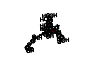 CC1O[C@@H](OC2C(O)[C@@H](NC(=O)CCCCCNC(=O)c3ccc(COc4cccc(O)c4C=O)cc3)C(CO)O[C@H]2OC(=O)[C@]23CCC(C)(C)CC2C2=CCC4C5(C)CC[C@H](O)C(C)(C=O)[C@H]5CCC4(C)C2(C)CC3O)C(CO)C(O)[C@H]1O[C@@H]1OC[C@@H](O)C(O)C1O